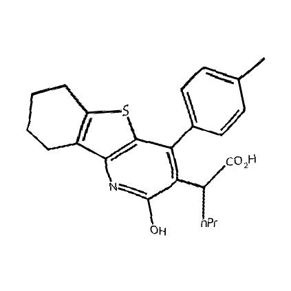 CCCC(C(=O)O)c1c(O)nc2c3c(sc2c1-c1ccc(C)cc1)CCCC3